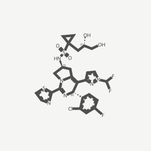 O=S(=O)(N[C@H]1CC2=C(c3ccn(C(F)F)n3)[C@H](c3ccc(F)cc3Cl)N=C(c3nccs3)N2C1)C1(C[C@H](O)CO)CC1